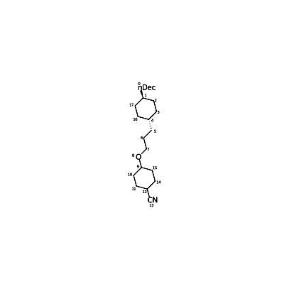 CCCCCCCCCC[C@H]1CC[C@H](CCCOC2CCC(C#N)CC2)CC1